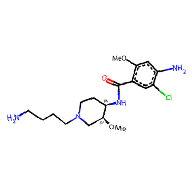 COc1cc(N)c(Cl)cc1C(=O)N[C@@H]1CCN(CCCCN)C[C@@H]1OC